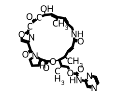 CC1=C\[C@@H](O)CC(=O)Cc2nc(co2)C(=O)N2CCC[C@@H]2C(=O)O[C@H]([C@@H](C)COC(=O)Nc2cnccn2)[C@H](C)/C=C/C(=O)NC\C=C\1